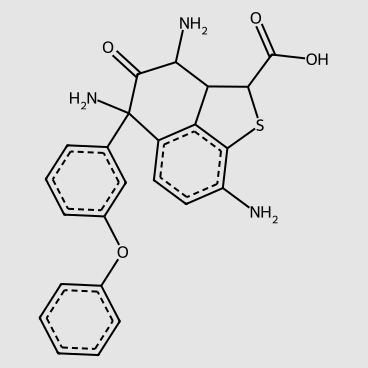 Nc1ccc2c3c1SC(C(=O)O)C3C(N)C(=O)C2(N)c1cccc(Oc2ccccc2)c1